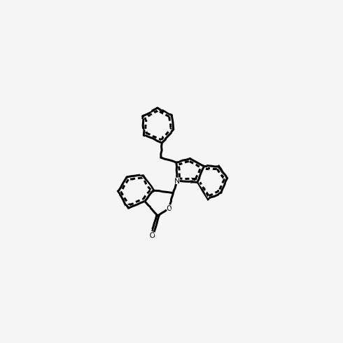 O=C1OC(n2c(Cc3ccccc3)cc3ccccc32)c2ccccc21